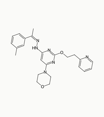 CC(=NNc1cc(N2CCOCC2)nc(OCCc2ccccn2)n1)c1cccc(C)c1